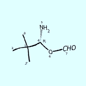 CC(C)(C)[C@H](N)OC=O